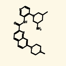 CC1CC(N)CN(c2ccncc2NC(=O)c2ccc3ccc(N4CCN(C)CC4)cc3n2)C1